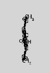 C=CC(=O)OCCCCCCOc1ccc(C(=O)Nc2ccc(OC(=O)c3ccc(OCCCCCCOC(=O)C=C)cc3)cc2Cl)cc1